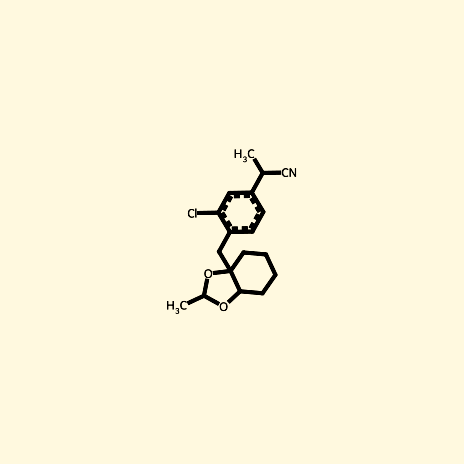 CC1OC2CCCCC2(Cc2ccc(C(C)C#N)cc2Cl)O1